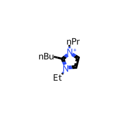 CCCCc1n(CC)cc[n+]1CCC